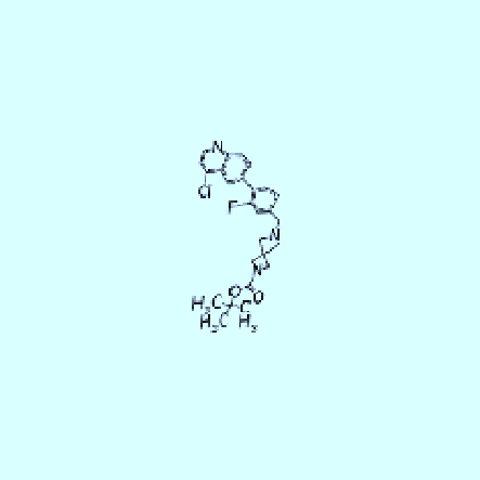 CC(C)(C)OC(=O)N1CC2(CN(Cc3ccc(-c4ccc5nccc(Cl)c5c4)c(F)c3)C2)C1